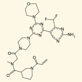 C=CC(=O)N1CCCC(C(=O)N(C)CC(=O)N2CCN(c3nc(-c4cnc(N)nc4C(F)F)nc(N4CCOCC4)n3)CC2)C1